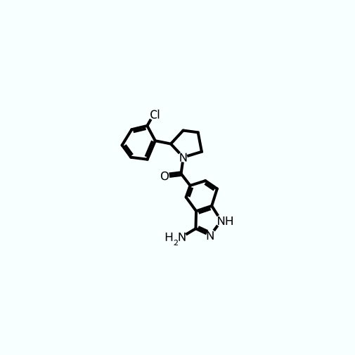 Nc1n[nH]c2ccc(C(=O)N3CCCC3c3ccccc3Cl)cc12